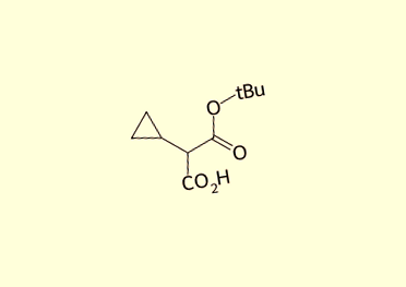 CC(C)(C)OC(=O)C(C(=O)O)C1CC1